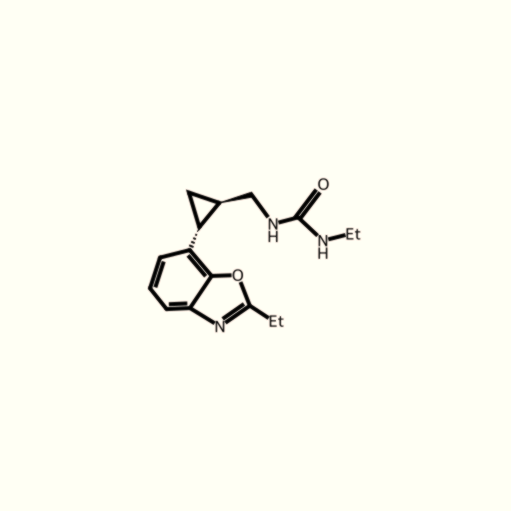 CCNC(=O)NC[C@@H]1C[C@H]1c1cccc2nc(CC)oc12